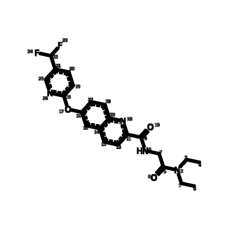 CCN(CC)C(=O)CNC(=O)c1ccc2cc(Oc3ccc(C(F)F)cn3)ccc2n1